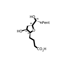 CCCCC[C@@H](O)[C@H]1C[C@H](O)[C@H](CCCC(=O)O)O1